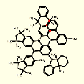 Cc1cc2c(cc1N1c3cc4c(cc3B3c5cc6c(cc5N(c5ccc(C(C)(C)C)cc5-c5ccccc5)c5cc(N7c8ccccc8C8(C)CCCCC78C)cc1c53)C(C)(C)c1ccccc1C6(C)C)C(C)(C)CC4(C)C)C(C)(C)CC2(C)C